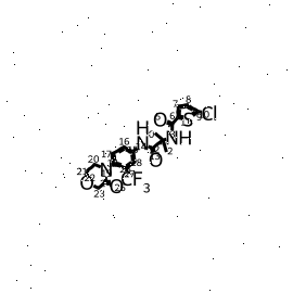 CC(C)(NC(=O)c1ccc(Cl)s1)C(=O)Nc1ccc(N2CCOCC2=O)c(C(F)(F)F)c1